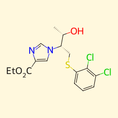 CCOC(=O)c1cn([C@@H](CSc2cccc(Cl)c2Cl)[C@H](C)O)cn1